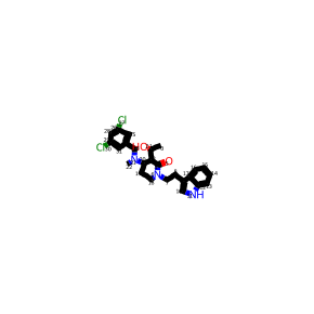 CC(O)C1C(=O)N(CCc2c[nH]c3ccccc23)CCC1N(C)Cc1cc(Cl)cc(Cl)c1